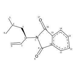 C=C[C@@H](CC(C)C)N1C(=O)c2ccccc2C1=O